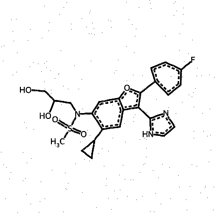 CS(=O)(=O)N(CC(O)CO)c1cc2oc(-c3ccc(F)cc3)c(-c3ncc[nH]3)c2cc1C1CC1